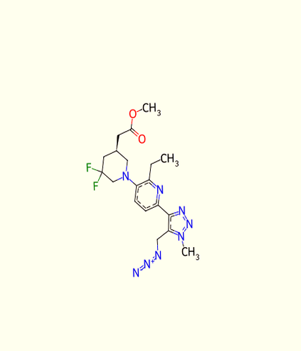 CCc1nc(-c2nnn(C)c2CN=[N+]=[N-])ccc1N1C[C@H](CC(=O)OC)CC(F)(F)C1